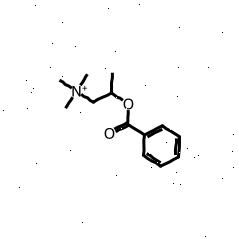 CC(C[N+](C)(C)C)OC(=O)c1ccccc1